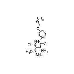 COCOc1cccc(-n2nc(Cl)c(N(C)C)c(N)c2=O)c1